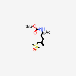 C=C(CC[C@H](NC(=O)OC(C)(C)C)C(C)=O)C[SH](C)(C)=O